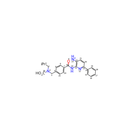 CC(C)CN(Cc1ccc(C(=O)Nc2nc(-c3ccccc3)ccc2N)cc1)C(=O)O